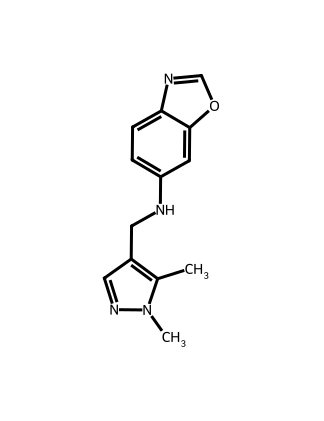 Cc1c(CNc2ccc3ncoc3c2)cnn1C